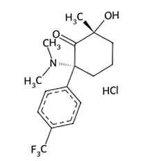 CN(C)[C@@]1(c2ccc(C(F)(F)F)cc2)CCC[C@@](C)(O)C1=O.Cl